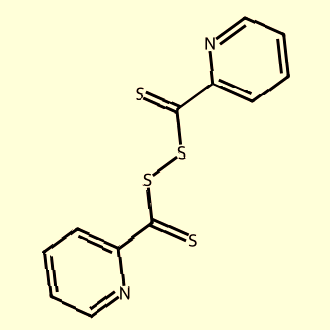 S=C(SSC(=S)c1ccccn1)c1ccccn1